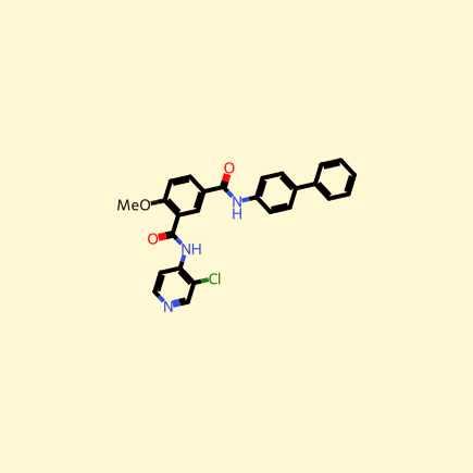 COc1ccc(C(=O)Nc2ccc(-c3ccccc3)cc2)cc1C(=O)Nc1ccncc1Cl